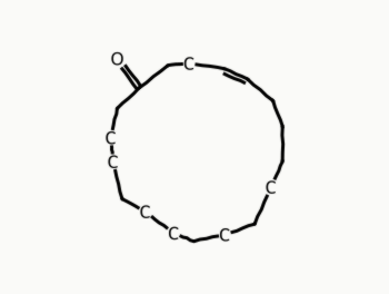 O=C1CCC=CCCCCCCCCCCCCC1